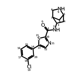 O=C(NC1CC2CC1CN2)c1ncc(-c2cccc(Cl)c2)s1